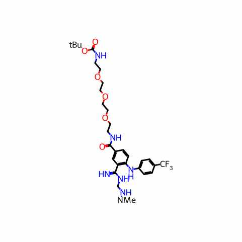 CNNCNC(=N)c1cc(C(=O)NCCOCCOCCOCCNC(=O)OC(C)(C)C)ccc1Nc1ccc(C(F)(F)F)cc1